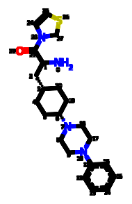 NC(C[C@H]1CC[C@@H](N2CCN(c3ccccc3)CC2)CC1)C(=O)N1C=CSC1